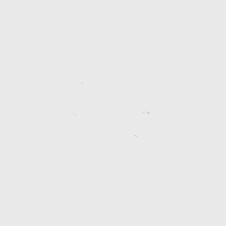 COc1ccccc1S(=O)(=O)Nc1cc(C)cc(OCCN(Cc2ccccc2)c2c(Cl)c(Cl)nc(Cl)c2Cl)c1